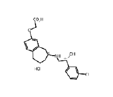 Cl.O=C(O)COc1ccc2c(c1)C[C@@H](NC[C@H](O)c1cccc(Cl)c1)CCC2